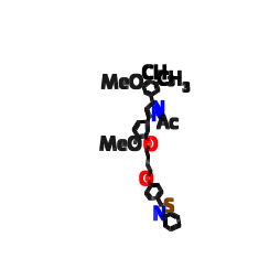 COc1ccc(-c2cc(-c3cc(C)c(C)c(OC)c3)nn2C(C)=O)cc1OCCCCOc1ccc(-c2nc3ccccc3s2)cc1